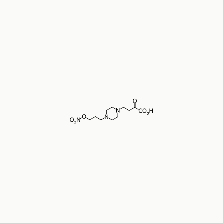 O=C(O)C(=O)CCN1CCN(CCCO[N+](=O)[O-])CC1